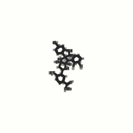 COC(=O)c1ccc(N)c(C2C[C@@H]3N[C@@]4(C(=O)Nc5cc(Cl)ccc54)[C@@H](c4cccc(Cl)c4F)[C@@H]3N2)c1